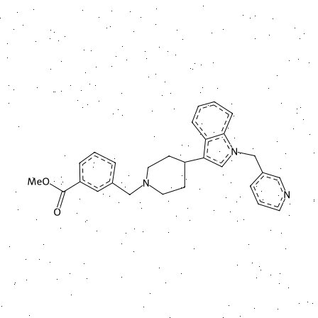 COC(=O)c1cccc(CN2CCC(c3cn(Cc4cccnc4)c4ccccc34)CC2)c1